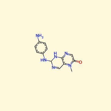 Cn1c2c(ncc1=O)NC(Nc1ccc(N)cc1)N=C2